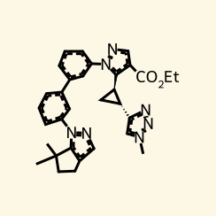 CCOC(=O)c1cnn(-c2cccc(-c3cccc(-n4ncc5c4C(C)(C)CC5)c3)c2)c1[C@@H]1C[C@H]1c1cn(C)nn1